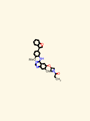 C=CC(=O)N1CC(Oc2cc3c(Nc4cc(-c5coc6ccccc56)ccc4OC)ncnc3cc2OC)C1